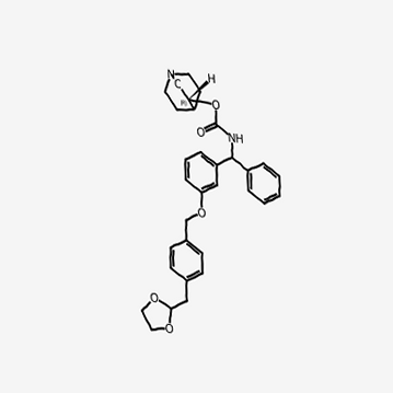 O=C(NC(c1ccccc1)c1cccc(OCc2ccc(CC3OCCO3)cc2)c1)O[C@H]1CN2CCC1CC2